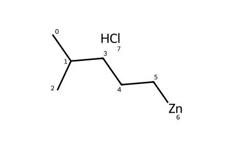 CC(C)CC[CH2][Zn].Cl